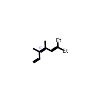 C=C/C(C)=C(/C)C=C(CC)CC